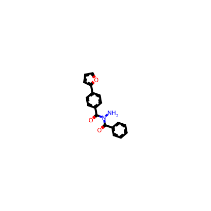 NN(C(=O)c1ccccc1)C(=O)c1ccc(-c2ccco2)cc1